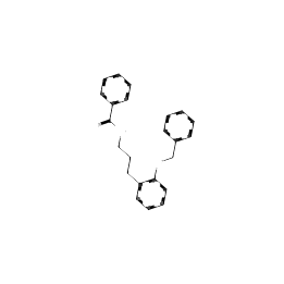 O=C(OCCCc1ccccc1OCc1ccccc1)c1ccccc1